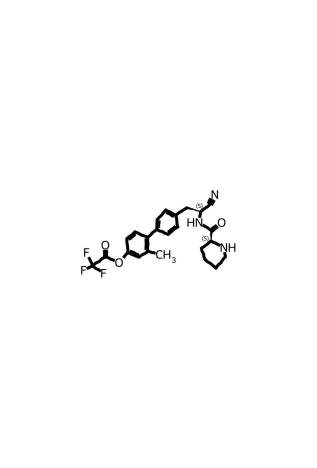 Cc1cc(OC(=O)C(F)(F)F)ccc1-c1ccc(C[C@@H](C#N)NC(=O)[C@@H]2CCCCN2)cc1